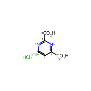 Cl.Cl.O=C(O)c1ccnc(C(=O)O)n1